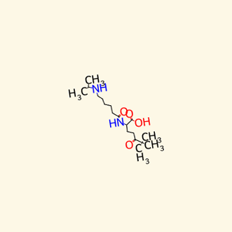 CC(C)NCCCCCC(=O)NC(CCC(=O)C(C)(C)C)C(=O)O